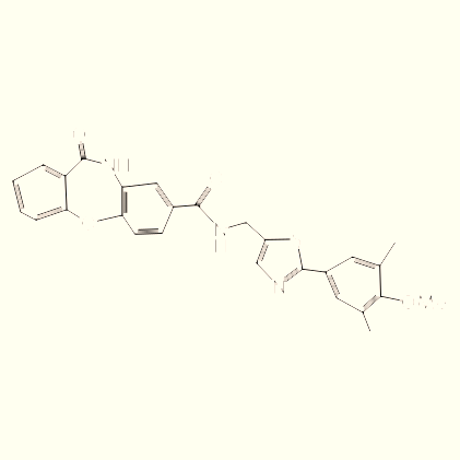 COc1c(C)cc(-c2ncc(CNC(=O)c3ccc4c(c3)NC(=O)c3ccccc3O4)s2)cc1C